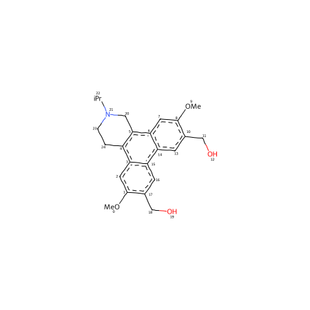 COc1cc2c3c(c4cc(OC)c(CO)cc4c2cc1CO)CN(C(C)C)CC3